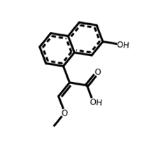 COC=C(C(=O)O)c1cccc2ccc(O)cc12